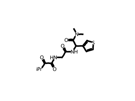 CC(C)C(=O)C(=O)NCC(=O)NC(C(=O)N(C)C)c1ccsc1